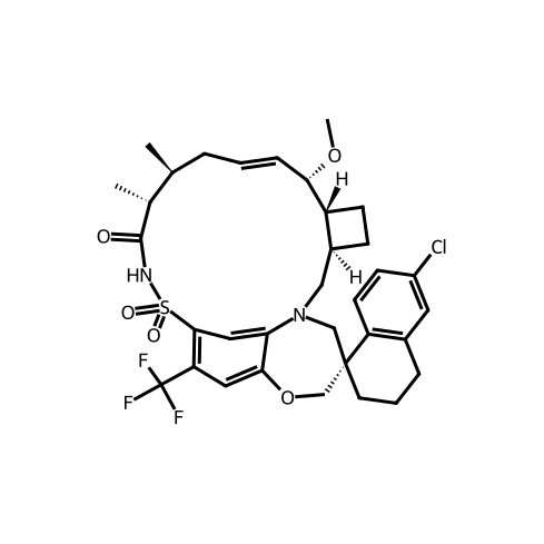 CO[C@H]1/C=C/C[C@H](C)[C@@H](C)C(=O)NS(=O)(=O)c2cc3c(cc2C(F)(F)F)OC[C@]2(CCCc4cc(Cl)ccc42)CN3C[C@@H]2CC[C@H]21